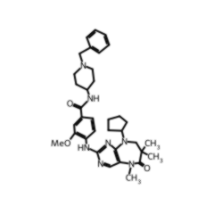 COc1cc(C(=O)NC2CCN(Cc3ccccc3)CC2)ccc1Nc1ncc2c(n1)N(C1CCCC1)CC(C)(C)C(=O)N2C